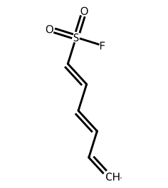 [CH]=CC=CC=CS(=O)(=O)F